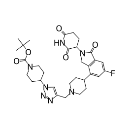 CC(C)(C)OC(=O)N1CCC(n2cc(CN3CCC(c4cc(F)cc5c4CN(C4CCC(=O)NC4=O)C5=O)CC3)nn2)CC1